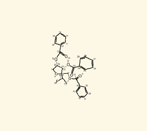 O=C(OC[C@@]1(C(F)F)OC[C@H](OC(=O)c2ccccc2)[C@@H]1OC(=O)c1ccccc1)c1ccccc1